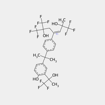 CC(C)(c1ccc(/C(=C/C(C)(O)C(F)(F)F)CC(O)(C(F)(F)F)C(F)(F)F)cc1)c1ccc(O)c(C(C)(O)C(F)(F)F)c1